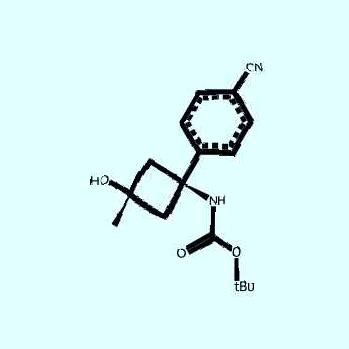 CC(C)(C)OC(=O)N[C@]1(c2ccc(C#N)cc2)C[C@@](C)(O)C1